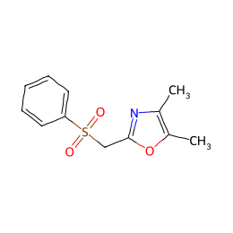 Cc1nc(CS(=O)(=O)c2ccccc2)oc1C